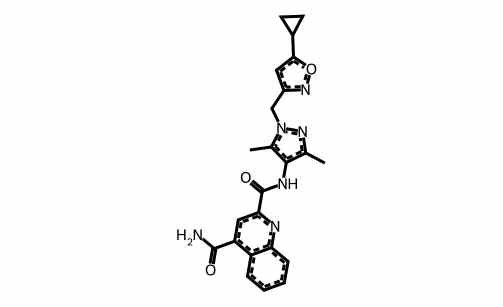 Cc1nn(Cc2cc(C3CC3)on2)c(C)c1NC(=O)c1cc(C(N)=O)c2ccccc2n1